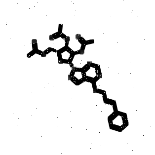 CC(=O)OC[C@H]1O[C@@H](n2ncc3c(SCC=Cc4ccccc4)ncnc32)[C@H](OC(C)=O)[C@@H]1OC(C)=O